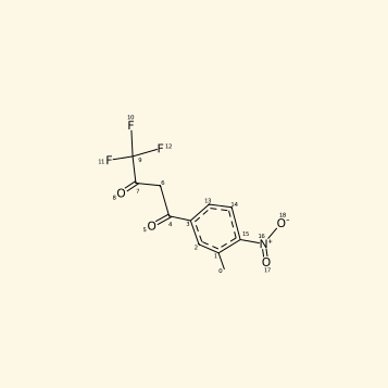 Cc1cc(C(=O)CC(=O)C(F)(F)F)ccc1[N+](=O)[O-]